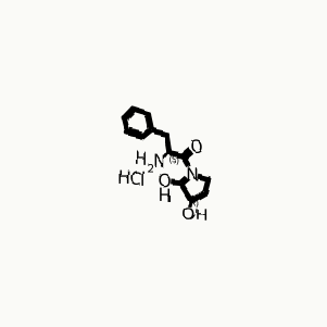 Cl.N[C@@H](Cc1ccccc1)C(=O)N1CC[C@@H](O)C1O